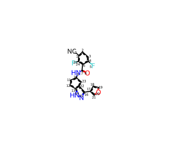 N#Cc1ccc(F)c(C(=O)Nc2ccc3[nH]nc(-c4ccoc4)c3c2)c1F